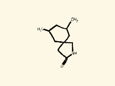 CC1CC(C)CC2(CNC(=O)C2)C1